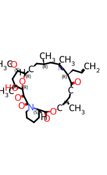 C=CC[C@@H]1/C=C(\C)C[C@H](C)CC[C@H]2O[C@@](O)(C(=O)C(=O)N3CCCC[C@H]3C(=O)OC[C@H](C)CCC1=O)[C@H](C)C[C@@H]2OC